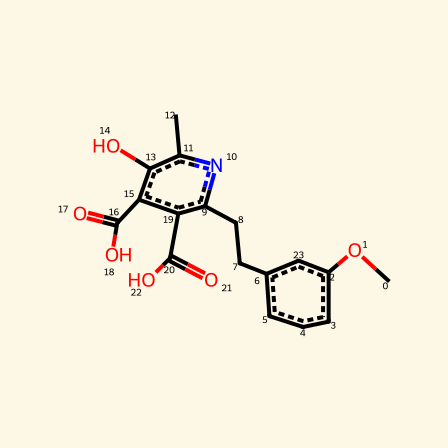 COc1cccc(CCc2nc(C)c(O)c(C(=O)O)c2C(=O)O)c1